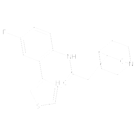 C=C(CC1CN2CCC1CC2)Nc1ccc(F)cc1-c1ccsc1